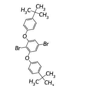 CC(C)(C)c1ccc(Oc2cc(Br)cc(Oc3ccc(C(C)(C)C)cc3)c2Br)cc1